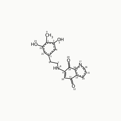 Cc1c(O)cc(CCNC2=CC(=O)c3cccnc3C2=O)cc1O